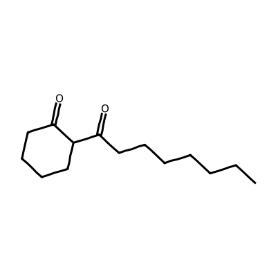 CCCCCCCC(=O)C1CCCCC1=O